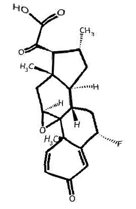 C[C@@H]1C[C@H]2[C@@H]3C[C@H](F)C4=CC(=O)C=C[C@]4(C)C34O[C@H]4C[C@]2(C)[C@H]1C(=O)C(=O)O